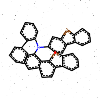 c1ccc(-c2ccccc2N(c2ccc3c(c2)sc2ccccc23)c2cccc3ccc4c5ccccc5sc4c23)cc1